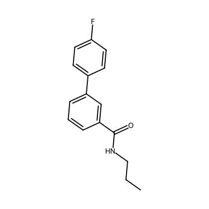 CCCNC(=O)c1cccc(-c2ccc(F)cc2)c1